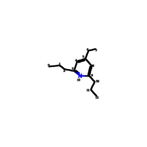 CCCc1cc(CC)cc(CCC)n1